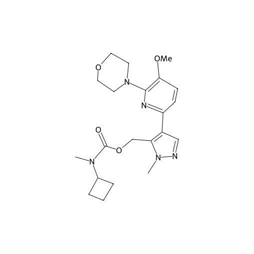 COc1ccc(-c2cnn(C)c2COC(=O)N(C)C2CCC2)nc1N1CCOCC1